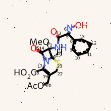 CO[C@@]1(NC(=O)/C(=N/O)c2ccccc2)C(=O)N2C(C(=O)O)=C(COC(C)=O)CS[C@@H]21